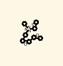 c1ccc(-c2nc(-c3ccc(-c4cccc5oc6ccc(-c7ccc8oc9ccccc9c8c7)cc6c45)cc3)nc(-c3cccc4c3sc3ccccc34)n2)cc1